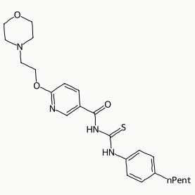 CCCCCc1ccc(NC(=S)NC(=O)c2ccc(OCCN3CCOCC3)nc2)cc1